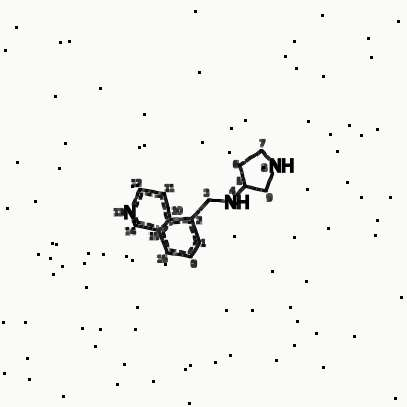 c1cc(CNC2CCNC2)c2ccncc2c1